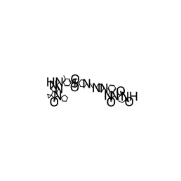 Cc1cc(S(=O)(=O)C2CCN(CCN3CCN(c4cccc5c4n(C)c(=O)n5C4CCC(=O)NC4=O)CC3)CC2)ccc1Nc1ncc2c(n1)N(C1CCCC1)C(=O)C21CC1